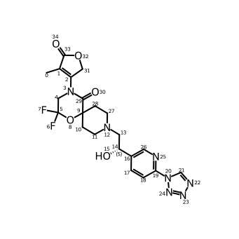 CC1=C(N2CC(F)(F)OC3(CCN(C[C@@H](O)c4ccc(-n5cnnn5)nc4)CC3)C2=O)COC1=O